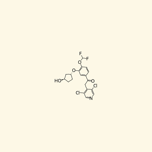 O=C(Cc1c(Cl)cncc1Cl)c1ccc(OC(F)F)c(O[C@@H]2CC[C@@H](O)C2)c1